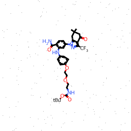 CC1(C)CC(=O)c2c(C(F)(F)F)nn(-c3ccc(C(N)=O)c(Nc4ccc(OCCOCCNC(=O)OC(C)(C)C)cc4)c3)c2C1